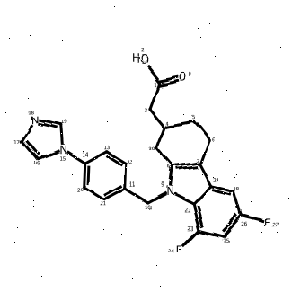 O=C(O)CC1CCc2c(n(Cc3ccc(-n4ccnc4)cc3)c3c(F)cc(F)cc23)C1